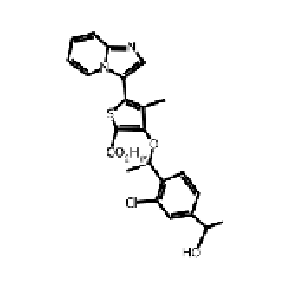 Cc1c(-c2cnc3ccccn23)sc(C(=O)O)c1O[C@H](C)c1ccc(C(C)O)cc1Cl